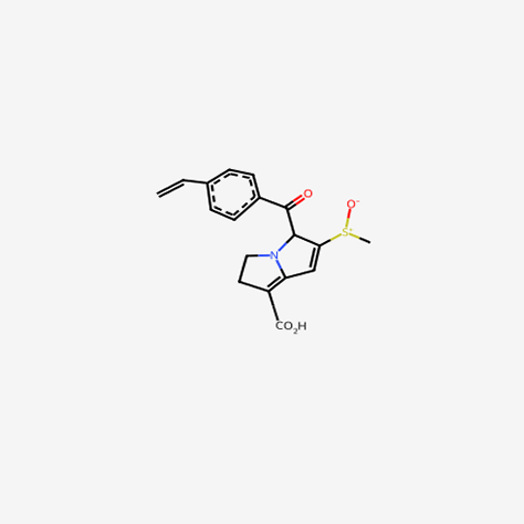 C=Cc1ccc(C(=O)C2C([S+](C)[O-])=CC3=C(C(=O)O)CCN32)cc1